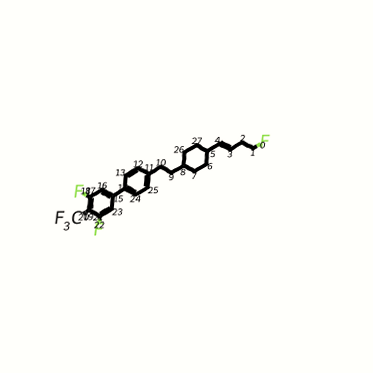 FCC/C=C/C1CCC(CCc2ccc(-c3cc(F)c(C(F)(F)F)c(F)c3)cc2)CC1